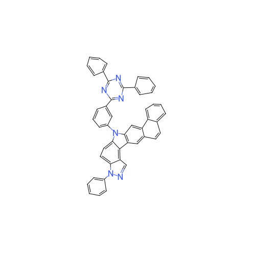 c1ccc(-c2nc(-c3ccccc3)nc(-c3cccc(-n4c5cc6c(ccc7ccccc76)cc5c5c6cnn(-c7ccccc7)c6ccc54)c3)n2)cc1